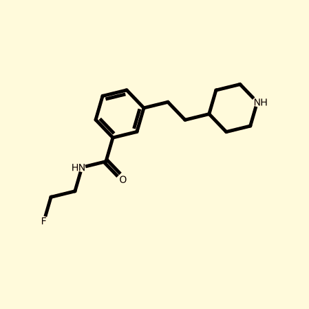 O=C(NCCF)c1cccc(CCC2CCNCC2)c1